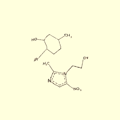 CC1CCC(C(C)C)C(O)C1.Cc1ncc([N+](=O)[O-])n1CCO